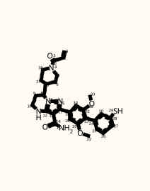 C=CC(=O)N1CCC(C2CCNc3c(C(N)=O)c(-c4cc(OC)c(-c5cccc(S)c5)c(OC)c4)nn32)CC1